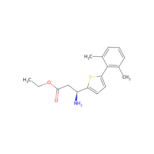 CCOC(=O)C[C@H](N)c1ccc(-c2c(C)cccc2C)s1